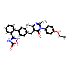 CCCc1nc(C)n(-c2ccc(OCC(C)(C)C)cc2)c(=O)c1Cc1ccc(-c2ccccc2-c2noc(=O)[nH]2)cc1